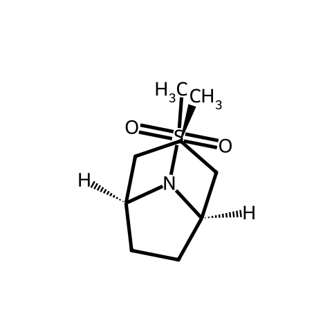 C[C@H]1C[C@H]2CC[C@@H](C1)N2S(C)(=O)=O